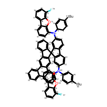 CC(C)(C)C1=CCC(N(c2ccc3c(c2)C2(c4ccccc4-c4cc5c(cc42)C2C=CC=CC2c2ccccc2-5)c2cc(N(c4ccc(C(C)(C)C)cc4)c4cccc5c4oc4c(F)cccc45)ccc2-3)c2cccc3c2oc2c(F)cccc23)C=C1